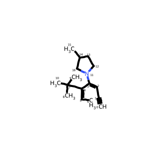 C#C/C=C(\C(=C/C)C(C)(C)C)N1CCC(C)C1